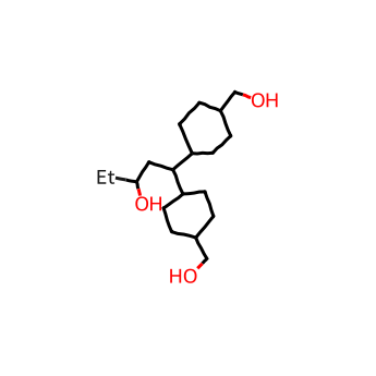 CCC(O)CC(C1CCC(CO)CC1)C1CCC(CO)CC1